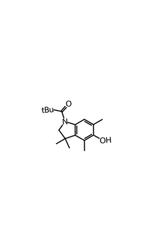 Cc1cc2c(c(C)c1O)C(C)(C)CN2C(=O)C(C)(C)C